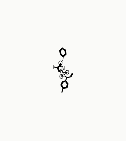 C=CC(c1ccc(C)cc1)S(=O)(=O)n1cc(I)c(OCc2ccccc2)n1